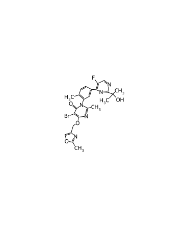 Cc1nc(COc2nc(C)n(-c3cc(-c4nc(C(C)(C)O)ncc4F)ccc3C)c(=O)c2Br)co1